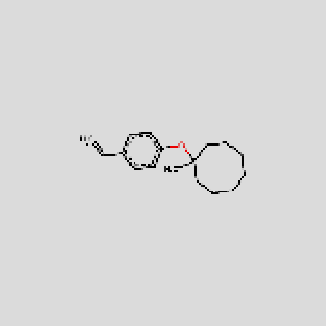 C=Cc1ccc(OC2(C)CCCCCCC2)cc1